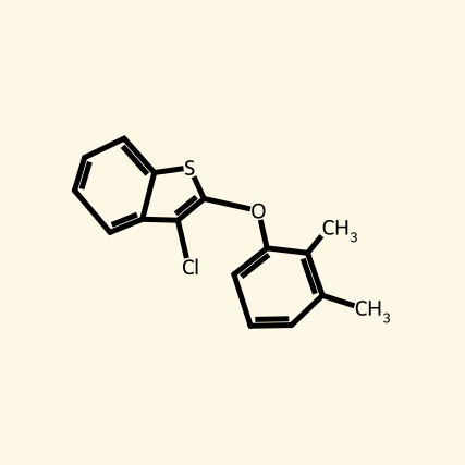 Cc1cccc(Oc2sc3ccccc3c2Cl)c1C